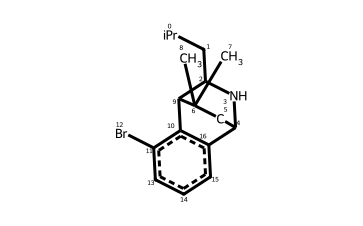 CC(C)CC1NC2CC(C)(C)C1c1c(Br)cccc12